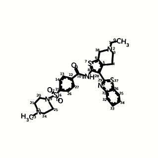 CCN1CCc2c(sc(NC(=O)c3ccc(S(=O)(=O)N4CCN(C)CC4)cc3)c2-c2nc3ccccc3s2)C1